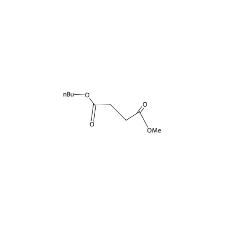 CCCCOC(=O)CCC(=O)OC